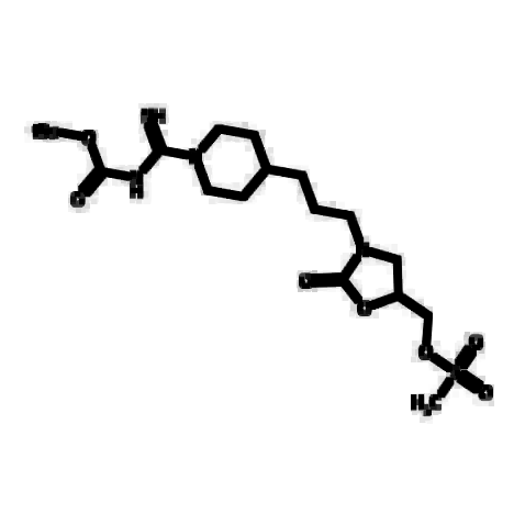 CC(C)(C)OC(=O)NC(=N)N1CCC(CCCN2CC(COS(C)(=O)=O)OC2=O)CC1